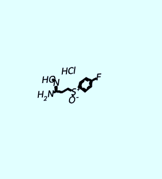 Cl.NC(CC[S+]([O-])c1ccc(F)cc1)=NO